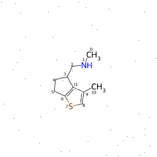 CNCC1CCc2scc(C)c21